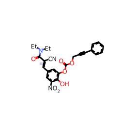 CCN(CC)C(=O)/C(C#N)=C/c1cc(OC(=O)OCC#Cc2ccccc2)c(O)c([N+](=O)[O-])c1